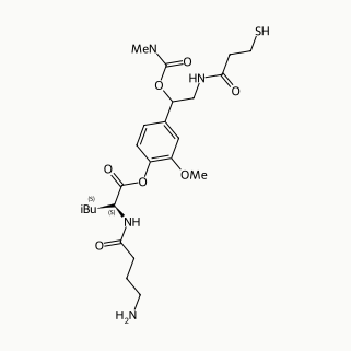 CC[C@H](C)[C@H](NC(=O)CCCN)C(=O)Oc1ccc(C(CNC(=O)CCS)OC(=O)NC)cc1OC